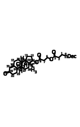 CCCCCCCCCCCCC(=O)OCCC(=O)O[C@H]1CC[C@H]2[C@@H]3CCC4=CC(=O)CC[C@]4(C)[C@H]3CC[C@]12C